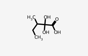 CCC(C)C(O)(O)C(=O)O